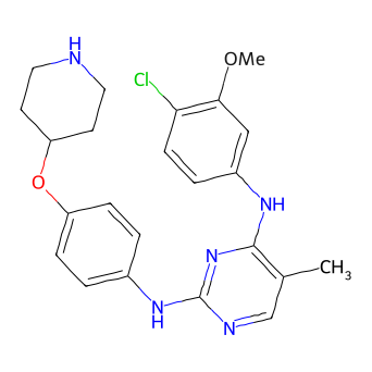 COc1cc(Nc2nc(Nc3ccc(OC4CCNCC4)cc3)ncc2C)ccc1Cl